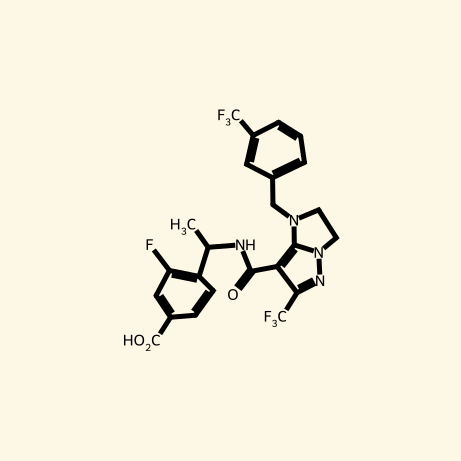 CC(NC(=O)c1c(C(F)(F)F)nn2c1N(Cc1cccc(C(F)(F)F)c1)CC2)c1ccc(C(=O)O)cc1F